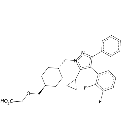 O=C(O)COC[C@H]1CC[C@H](Cn2nc(-c3ccccc3)c(-c3cccc(F)c3F)c2C2CC2)CC1